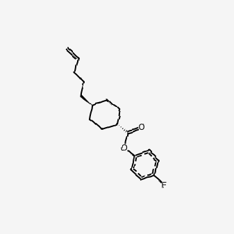 C=CCCC[C@H]1CC[C@H](C(=O)Oc2ccc(F)cc2)CC1